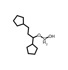 O[SiH2]OC(CCC1CCCC1)C1CCCC1